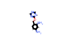 Nc1ccc(COc2ncncn2)c(N)c1